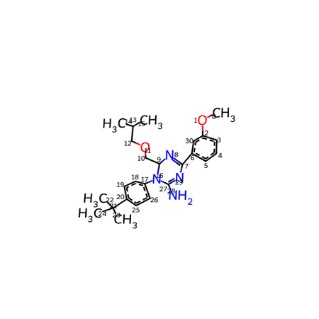 COc1cccc(C2=NC(COCC(C)C)N(c3ccc(C(C)(C)C)cc3)C(N)=N2)c1